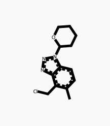 Cc1ccc2c(nnn2C2CCCCO2)c1CCl